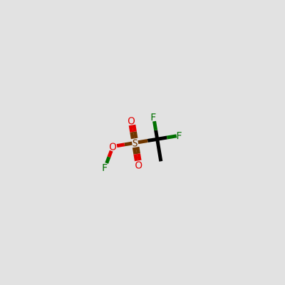 CC(F)(F)S(=O)(=O)OF